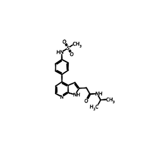 CC(C)NC(=O)Cc1cc2c(-c3ccc(NS(C)(=O)=O)cc3)ccnc2[nH]1